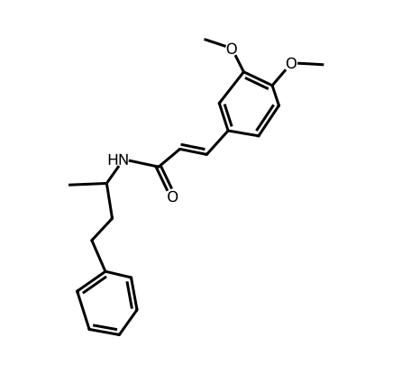 COc1ccc(/C=C/C(=O)NC(C)CCc2ccccc2)cc1OC